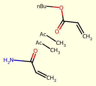 C=CC(=O)OCCCC.C=CC(N)=O.CC(C)=O.CC(C)=O